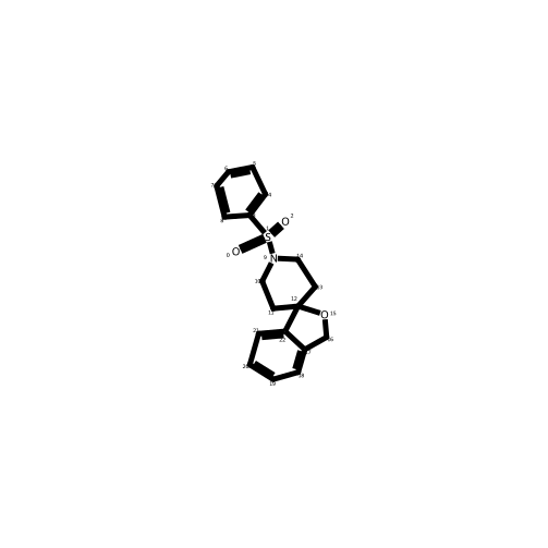 O=S(=O)(c1ccccc1)N1CCC2(CC1)OCc1ccccc12